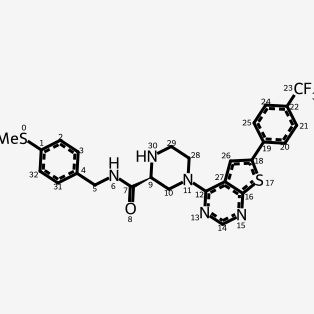 CSc1ccc(CNC(=O)[C@@H]2CN(c3ncnc4sc(-c5ccc(C(F)(F)F)cc5)cc34)CCN2)cc1